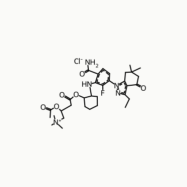 CCc1nn(-c2ccc(C(N)=O)c(NC3CCCCC3OC(=O)CC(C[N+](C)(C)C)OC(C)=O)c2F)c2c1C(=O)CC(C)(C)C2.[Cl-]